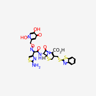 Nc1nc(/C(=N/OCc2cc(=O)c(O)cn2O)C(=O)N[C@@H]2C(=O)N3C(C(=O)O)=C(CSc4nc5ccccc5s4)CS[C@H]23)cs1